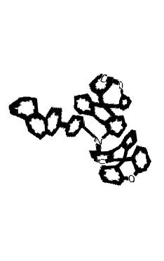 c1ccc2c(c1)Oc1ccccc1C21c2ccccc2-c2c(N(c3ccc(-c4ccc5c(ccc6ccccc65)c4)cc3)c3cccc4c3-c3ccccc3C43c4ccccc4Oc4ccccc43)cccc21